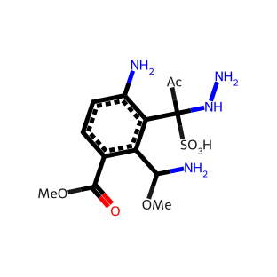 COC(=O)c1ccc(N)c(C(NN)(C(C)=O)S(=O)(=O)O)c1C(N)OC